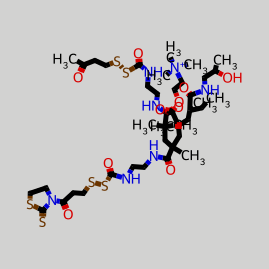 CCC(C)(CC(C)(CC(C)(CC(C)(C)C(=O)NCCNC(=O)SSCCC(C)=O)C(=O)NCCNC(=O)SSCCC(=O)N1CCSC1=S)C(=O)OCC[N+](C)(C)C)C(=O)NCC(C)O